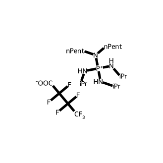 CCCCCN(CCCCC)[P+](NC(C)C)(NC(C)C)NC(C)C.O=C([O-])C(F)(F)C(F)(F)C(F)(F)F